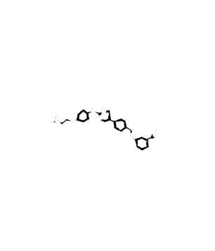 CCN(CC)CCOc1ccc(Nc2ncc(-c3ccc(CNc4cccc(C(=O)OC(C)(C)C)c4)cc3)cn2)cc1